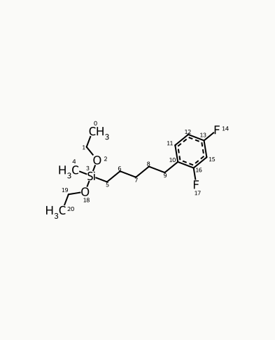 CCO[Si](C)(CCCCCc1ccc(F)cc1F)OCC